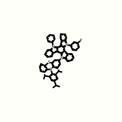 CC(C)c1cc(C(C)C)c(B2c3ccccc3Sc3cc(-n4c5ccccc5c5c6c(c7ccccc7n6-c6cccc(F)c6)c6c(c7ccccc7n6-c6ccccc6)c54)ccc32)c(C(C)C)c1